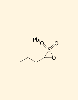 CCCC1OS1(=O)=O.[Pb]